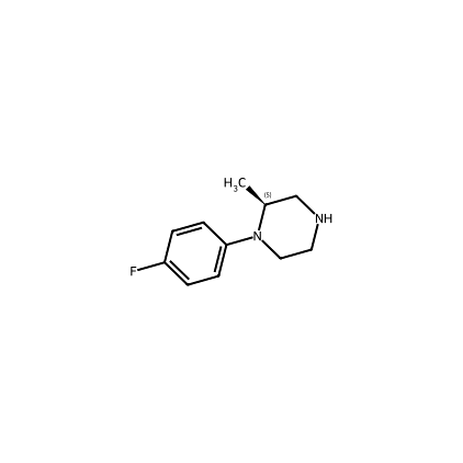 C[C@H]1CNCCN1c1ccc(F)cc1